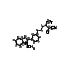 CCCC(CCCc1cccc(-c2cc3ccccc3n2C)c1)C(=O)C#N